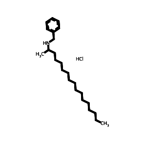 CCCCCCCCCCCCCCCC(C)NCc1ccccc1.Cl